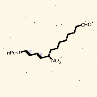 CCCCC/C=C/C=C/C(CCCCCCC[C]=O)[N+](=O)[O-]